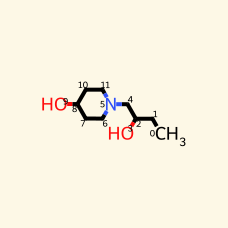 CCC(O)CN1CCC(O)CC1